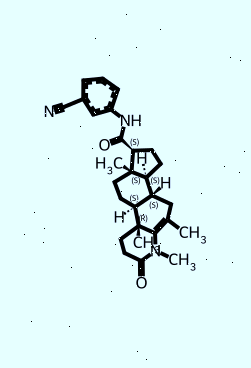 CC1=C2N(C)C(=O)CC[C@]2(C)[C@H]2CC[C@]3(C)[C@@H](C(=O)Nc4cccc(C#N)c4)CC[C@H]3[C@@H]2C1